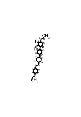 CCCc1ccc(CCC2CCC(c3ccc(-c4ccc(CCC)c(F)c4F)c(F)c3)CC2)cc1